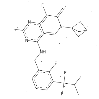 C=C1C(F)=c2nc(C)nc(NCc3cccc(C(F)(F)C(C)C)c3F)c2=CN1C12CC(C1)C2